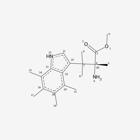 COC(=O)[C@](C)(N)C(C)(C)c1c[nH]c2c(C)c(C)c(C)c(C)c12